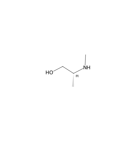 CN[C@H](C)CO